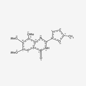 COc1cc2c(=O)[nH]c(-c3ccc(C)o3)nc2c(OC)c1OC